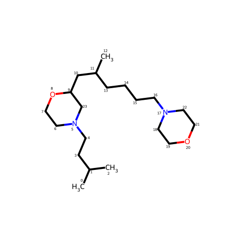 CC(C)CCN1CCOC(CC(C)CCCCN2CCOCC2)C1